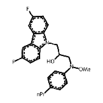 CCCc1ccc(N(CC(O)Cn2c3ccc(F)cc3c3cc(F)ccc32)OC)cc1